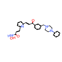 O=C(C=Cc1cccc(C=CC(=O)c2cccc(CN3CCN(c4ccccc4)CC3)c2)n1)NO